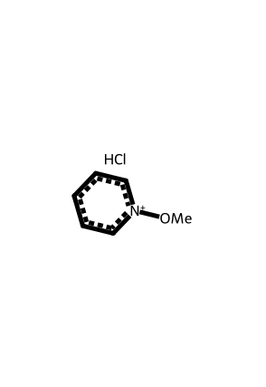 CO[n+]1ccccc1.Cl